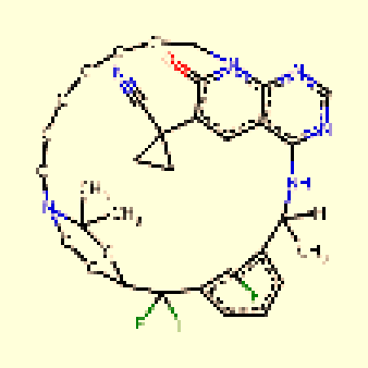 C[C@H]1Nc2ncnc3c2cc(C2(C#N)CC2)c(=O)n3CCCCCCCN2CCC(CC2(C)C)C(F)(F)c2cccc1c2F